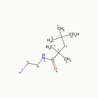 CC(C)(CC(C)(C)C(=O)NCCI)C(=O)O